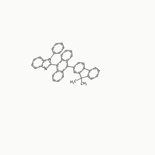 CC1(C)c2ccccc2-c2ccc(-c3c4ccccc4c(-c4nc5ccccc5n4-c4ccccc4)c4ccccc34)cc21